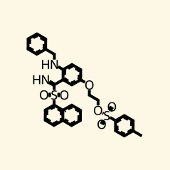 Cc1ccc(S(=O)(=O)OCCOc2ccc(NCc3ccccc3)c(C(=N)S(=O)(=O)c3cccc4ccccc34)c2)cc1